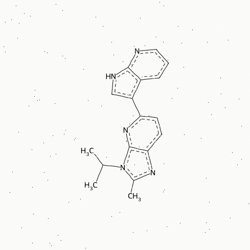 Cc1nc2ccc(-c3c[nH]c4ncccc34)nc2n1C(C)C